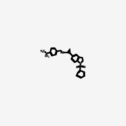 CN(C)c1ccc(CNC2CC2c2ccc3c(c2)CCN3S(=O)(=O)c2ccccc2)cc1